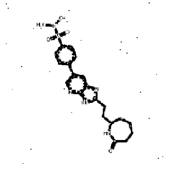 CN(C)S(=O)(=O)c1ccc(-c2cnc3[nH]c(CCC4CCCCC(=O)N4)nc3c2)cc1